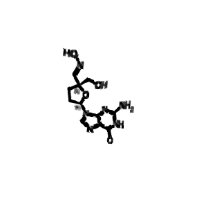 Nc1nc2c(ncn2[C@H]2CC[C@@](C=NO)(CO)O2)c(=O)[nH]1